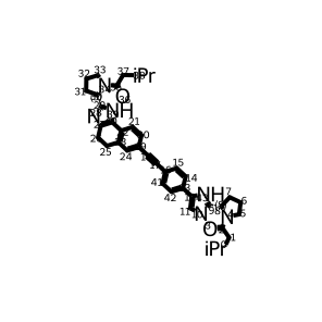 CC(C)CC(=O)N1CCC[C@H]1c1ncc(-c2ccc(C#Cc3ccc4c(c3)CCc3nc([C@@H]5CCCN5C(=O)CC(C)C)[nH]c3-4)cc2)[nH]1